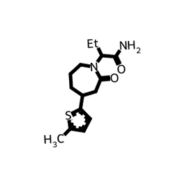 CCC(C(N)=O)N1CCCC(c2ccc(C)s2)CC1=O